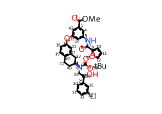 COC(=O)c1cc(NC(=O)c2ccco2)cc(Oc2ccc3c(c2)C[C@@H](N(C[C@H](O)c2cccc(Cl)c2)C(=O)OC(C)(C)C)CC3)c1